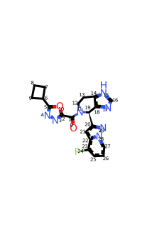 O=C(c1nnc(C2CCC2)o1)N1CCc2[nH]cnc2[C@H]1c1cc2c(F)cccn2n1